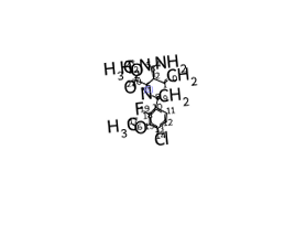 C=CC(=C(N)N)/C(=N\C(=C)c1ccc(Cl)c(OC)c1F)C(=O)OC